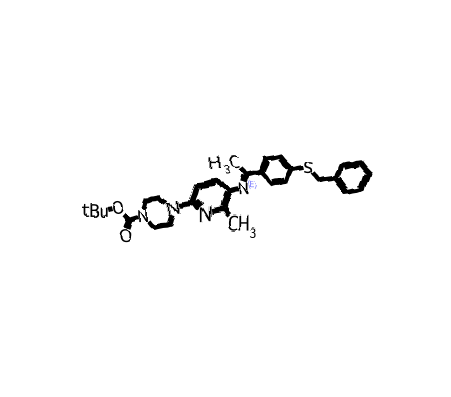 C/C(=N\c1ccc(N2CCN(C(=O)OC(C)(C)C)CC2)nc1C)c1ccc(SCc2ccccc2)cc1